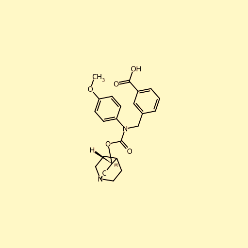 COc1ccc(N(Cc2cccc(C(=O)O)c2)C(=O)O[C@H]2CN3CCC2CC3)cc1